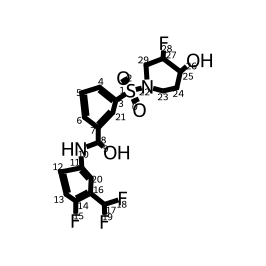 O=S(=O)(c1cccc(C(O)Nc2ccc(F)c(C(F)F)c2)c1)N1CCC(O)C(F)C1